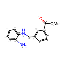 COC(=O)c1cccc(CNc2ccccc2N)c1